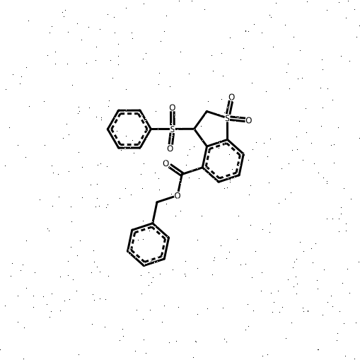 O=C(OCc1ccccc1)c1cccc2c1C(S(=O)(=O)c1ccccc1)CS2(=O)=O